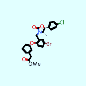 COC(=O)Cc1cccc(Oc2ccc(Br)cc2CN2C(=O)O[C@H](c3ccc(Cl)cc3)[C@@H]2C)c1